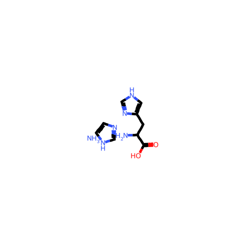 N.NC(Cc1c[nH]cn1)C(=O)O.c1c[nH]cn1